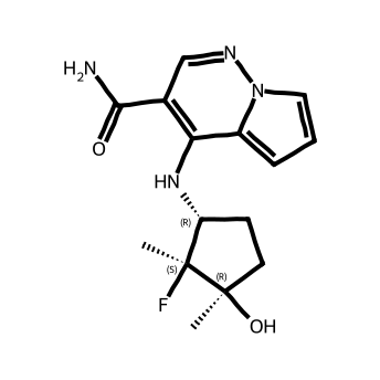 C[C@]1(F)[C@H](Nc2c(C(N)=O)cnn3cccc23)CC[C@@]1(C)O